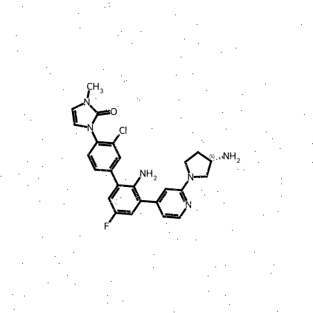 Cn1ccn(-c2ccc(-c3cc(F)cc(-c4ccnc(N5CC[C@H](N)C5)c4)c3N)cc2Cl)c1=O